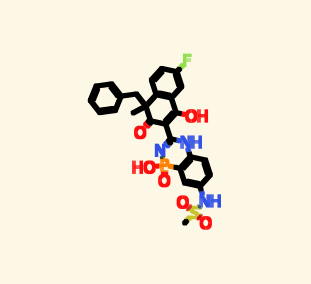 CC1(Cc2ccccc2)C(=O)C(C2=NP(=O)(O)c3cc(NS(C)(=O)=O)ccc3N2)=C(O)c2cc(F)ccc21